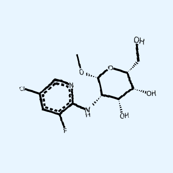 CO[C@@H]1O[C@H](CO)[C@H](O)[C@H](O)[C@@H]1Nc1ncc(Cl)cc1F